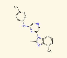 Cc1nc2c(N=O)cccc2n1-c1cncc(Nc2ccc(C(F)(F)F)cc2)n1